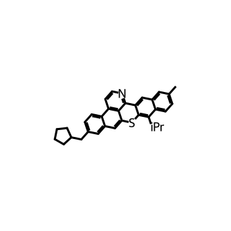 Cc1ccc2c(C(C)C)c3c(cc2c1)-c1nccc2c1c(cc1cc(CC4CCCC4)ccc12)S3